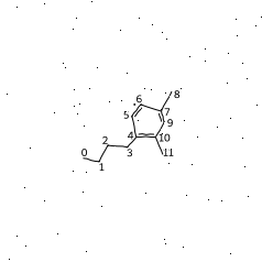 CCCCc1c[c]c(C)cc1C